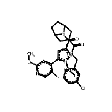 COc1cc(-c2cc(C(=O)N3C4CCC3CC(C(=O)NCc3cccc(Cl)c3)C4)nn2PI)c(F)cn1